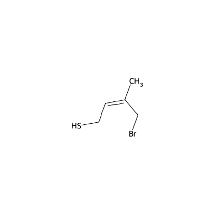 CC(=CCS)CBr